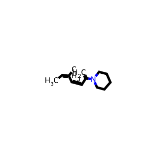 C=C(/C=C\C(C)=C/C)N1CCCCC1